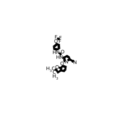 CC1(C)Cc2cccc(Oc3nc(C#N)ccc3NC(=O)Nc3ccc(OC(F)(F)F)cc3)c2O1